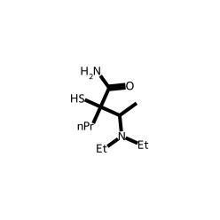 CCCC(S)(C(N)=O)C(C)N(CC)CC